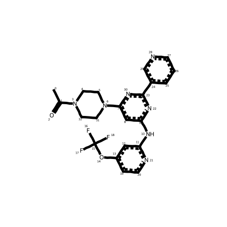 CC(=O)N1CCN(c2cc(Nc3cc(OC(F)(F)F)ccn3)nc(-c3cccnc3)n2)CC1